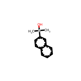 C[Si](C)(O)c1ccc2ccccc2c1